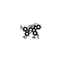 COc1ccc(C2(c3ccc(OC)cc3)C=Cc3c4c(c5cc(SC)c(SC)cc5c3O2)-c2ccccc2C4(C)O)cc1